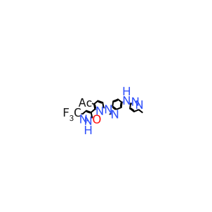 CC(=O)c1ccc(-n2cnc3cc(Nc4ccc(C)nn4)ccc32)nc1-c1cc(C(F)(F)F)n[nH]c1=O